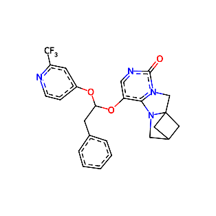 O=c1ncc(OC(Cc2ccccc2)Oc2ccnc(C(F)(F)F)c2)c2n1CC13CC(CN21)C3